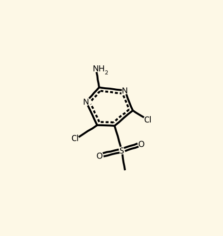 CS(=O)(=O)c1c(Cl)nc(N)nc1Cl